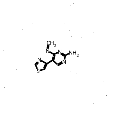 C=Nc1nc(N)ncc1-c1cscn1